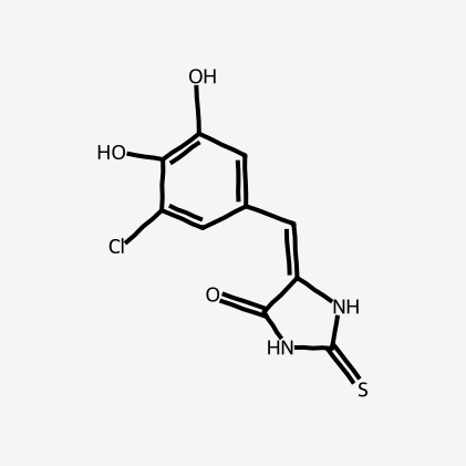 O=C1NC(=S)N/C1=C/c1cc(O)c(O)c(Cl)c1